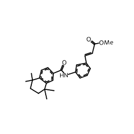 COC(=O)C=Cc1cccc(NC(=O)c2ccc3c(c2)C(C)(C)CCC3(C)C)c1